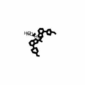 CCC1=Cc2c(-c3ccc(CC)cc3)cccc2[CH]1[Hf]1([CH]2C(CC)=Cc3c(-c4ccc(CC)cc4)cccc32)[CH2][CH2]1.Cl.Cl